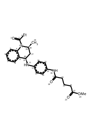 CCC(=O)N1c2ccccc2[C@H](Nc2ccc(NC(=O)CCCC(=O)OC)cc2)C[C@@H]1C